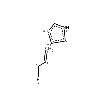 C=CCBr.c1c[nH]cn1